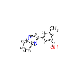 Cc1cc(CO)cc(-c2cnc3ccccc3n2)c1